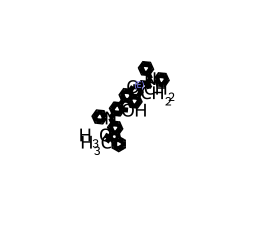 C=C1/C(=C\C(=C)N(c2ccccc2)c2ccccc2)Oc2ccc(-c3ccc(N(c4ccccc4)c4ccc5c(c4)C(C)(C)c4ccccc4-5)cc3O)c3cccc1c23